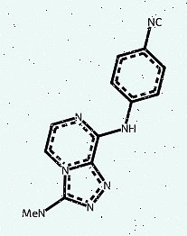 [C-]#[N+]c1ccc(Nc2nccn3c(NC)nnc23)cc1